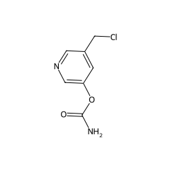 NC(=O)Oc1cncc(CCl)c1